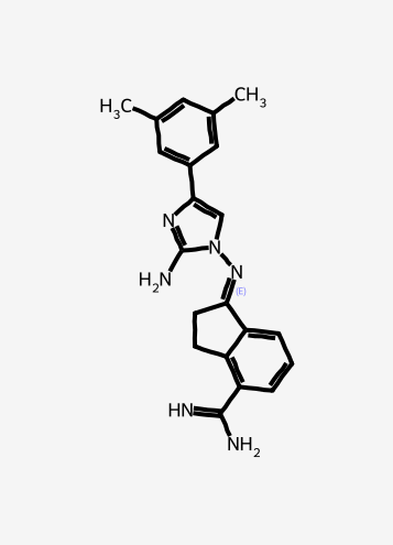 Cc1cc(C)cc(-c2cn(/N=C3\CCc4c(C(=N)N)cccc43)c(N)n2)c1